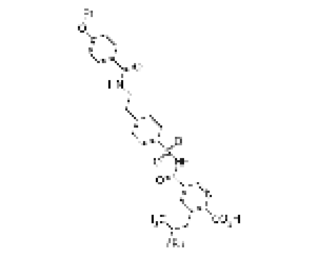 CCCCC(C)Cc1cc(C(=O)NS(=O)(=O)c2ccc(CCNC(=O)c3ccc(OCC)cc3)cc2)cnc1C(=O)O